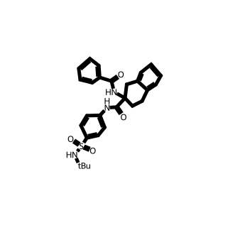 CC(C)(C)NS(=O)(=O)c1ccc(NC(=O)C2(NC(=O)c3ccccc3)CCc3ccccc3C2)cc1